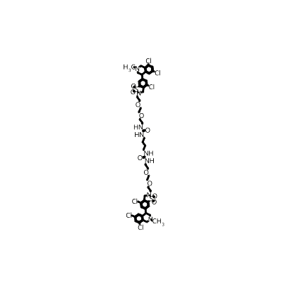 CN1Cc2c(Cl)cc(Cl)cc2C(c2cc(Cl)c3c(c2)S(=O)(=O)N(CCOCCOCCNC(=O)NCCCCNC(=O)NCCOCCOCCN2Cc4c(Cl)cc(C5CN(C)Cc6c(Cl)cc(Cl)cc65)cc4S2(=O)=O)C3)C1